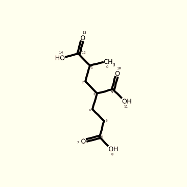 CC(CC(CCC(=O)O)C(=O)O)C(=O)O